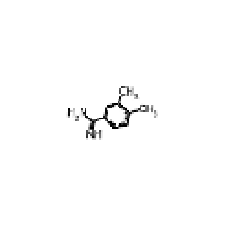 Cc1ccc(C(=N)N)cc1C